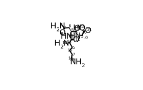 C[C@H](NC(=O)[C@H](CC(N)=O)NC(=O)[C@@H](N)CCCCN)C(=O)O